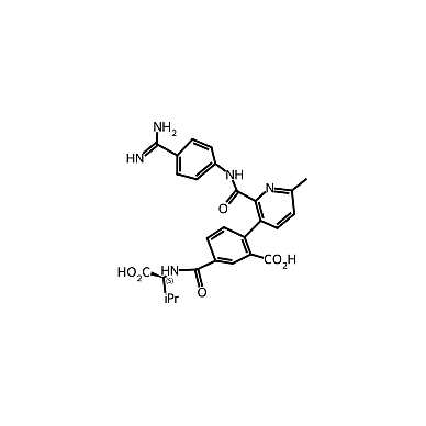 Cc1ccc(-c2ccc(C(=O)N[C@H](C(=O)O)C(C)C)cc2C(=O)O)c(C(=O)Nc2ccc(C(=N)N)cc2)n1